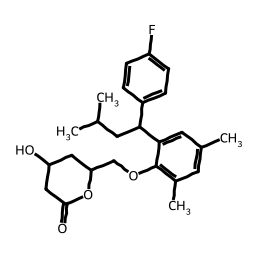 Cc1cc(C)c(OCC2CC(O)CC(=O)O2)c(C(CC(C)C)c2ccc(F)cc2)c1